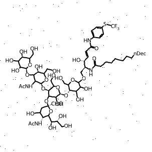 CCCCCCCCCCCCCCCCCC(=O)N[C@@H](COC1OC(CO)[C@@H](O[C@@H]2OC(CO)[C@H](O[C@@H]3OC(CO)[C@H](O)C(O[C@@H]4OC(CO)[C@H](O)C(O)C4O)C3NC(C)=O)C(O[C@]3(C=O)CC(O)[C@@H](NC(C)=O)C([C@H](O)[C@H](O)CO)O3)C2O)C(O)C1O)[C@H](O)/C=C/C(=O)Nc1ccc(SC(F)(F)F)cc1